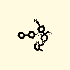 Cc1cccnc1CN1CCC(C=O)(c2ccc(C#N)cc2Nc2ccc(-c3ccccc3)cc2)CC1